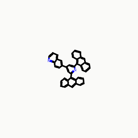 c1cnc2ccc(-c3cc(-c4c5ccccc5cc5ccccc45)nc(-c4c5ccccc5cc5ccccc45)c3)cc2c1